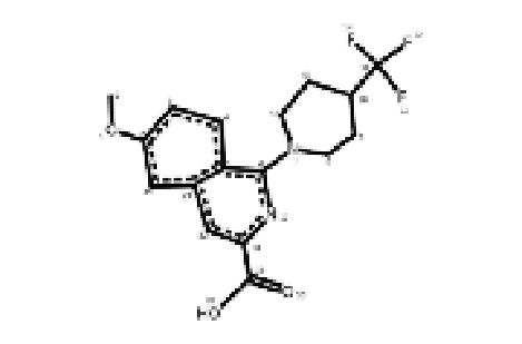 COc1ccc2c(N3CCC(C(F)(F)F)CC3)nc(C(=O)O)cc2c1